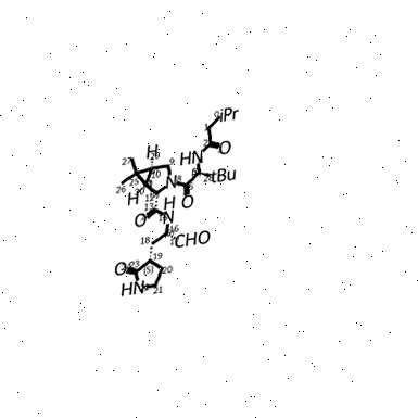 CC(C)CC(=O)N[C@H](C(=O)N1C[C@H]2[C@@H]([C@H]1C(=O)N[C@H](C=O)C[C@@H]1CCNC1=O)C2(C)C)C(C)(C)C